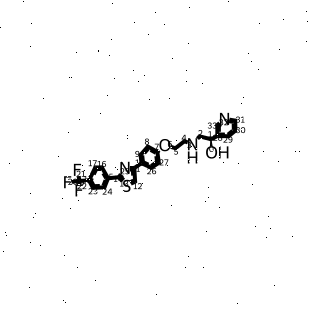 O[C@@H](CNCCOc1ccc(-c2csc(-c3ccc(C(F)(F)F)cc3)n2)cc1)c1cccnc1